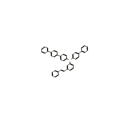 C(=C\c1cccc(N(c2ccc(-c3ccccc3)cc2)c2ccc(-c3ccc(-c4ccccc4)cc3)cc2)c1)/c1ccccc1